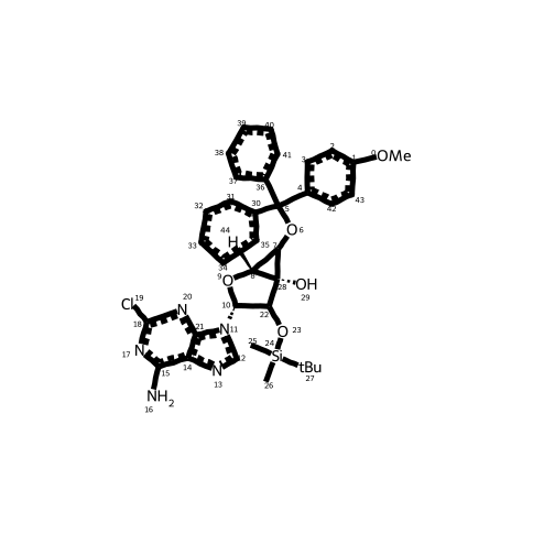 COc1ccc(C(OC2[C@H]3O[C@@H](n4cnc5c(N)nc(Cl)nc54)C(O[Si](C)(C)C(C)(C)C)[C@]23O)(c2ccccc2)c2ccccc2)cc1